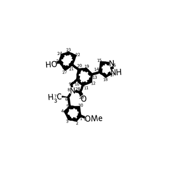 COc1cccc([C@@H](C)N2Cc3c(cc(-c4cn[nH]c4)cc3-c3cccc(O)c3)C2=O)c1